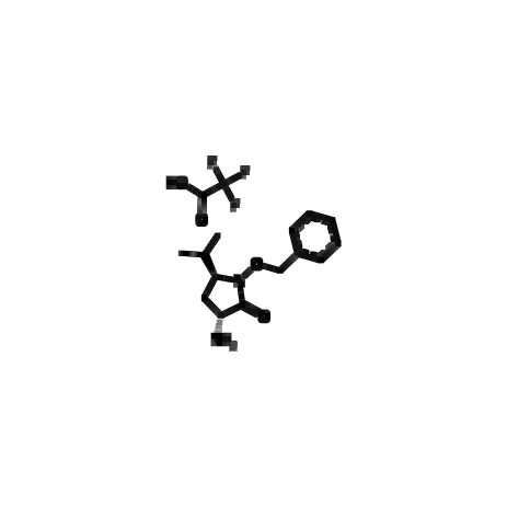 CC(C)[C@@H]1C[C@@H](N)C(=O)N1OCc1ccccc1.O=C(O)C(F)(F)F